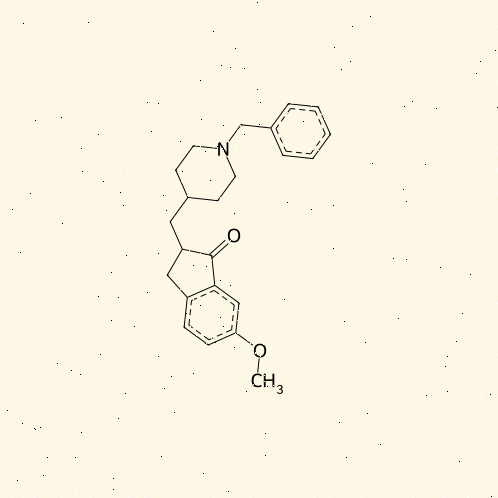 COc1ccc2c(c1)C(=O)C(CC1CCN(Cc3ccccc3)CC1)C2